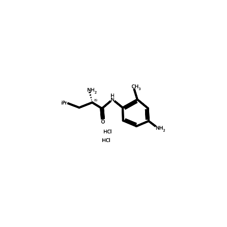 Cc1cc(N)ccc1NC(=O)[C@@H](N)CC(C)C.Cl.Cl